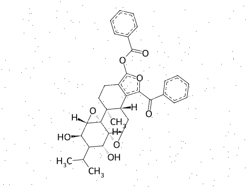 CC(C)C1[C@@H](O)[C@@H]2O[C@]23[C@]2(O[C@H]2C[C@H]2c4c(C(=O)c5ccccc5)oc(OC(=O)c5ccccc5)c4CC[C@@]23C)[C@@H]1O